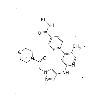 CCNC(=O)c1ccc(-c2nc(Nc3cnn(CC(=O)N4CCOCC4)c3)ncc2C)cc1